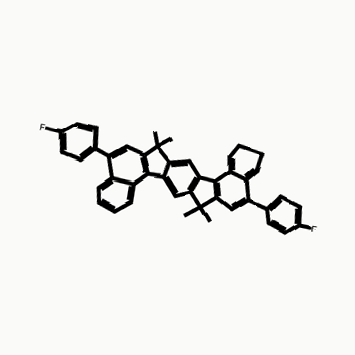 CC1(C)c2cc3c(cc2-c2c1cc(-c1ccc(F)cc1)c1c2=CCCC=1)C(C)(C)c1cc(-c2ccc(F)cc2)c2ccccc2c1-3